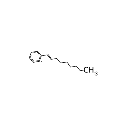 CCCCCCCC=Cc1[c]cccc1